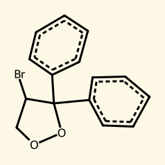 BrC1COOC1(c1ccccc1)c1ccccc1